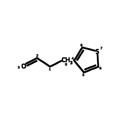 CCC=O.c1ccsc1